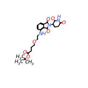 CC(C)(C)OC(=O)CCCOCCNc1cccc2c1C(=O)N(C1CCC(=O)NC1=O)C2=O